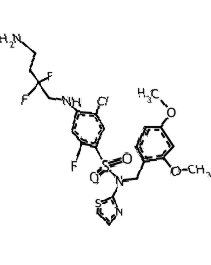 COc1ccc(CN(c2nccs2)S(=O)(=O)c2cc(Cl)c(NCC(F)(F)CCN)cc2F)c(OC)c1